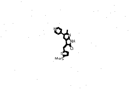 CSc1ccc(C=C2C(=O)Nc3nc(C)c(-c4ccncc4)cc32)s1